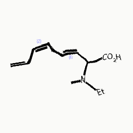 C=C/C=C\C=C\C(C(=O)O)N(C)CC